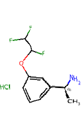 C[C@H](N)c1cccc(OC(F)C(F)F)c1.Cl